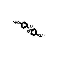 CSc1ccc(S(=O)(=O)c2ccc(SC)cc2)cc1